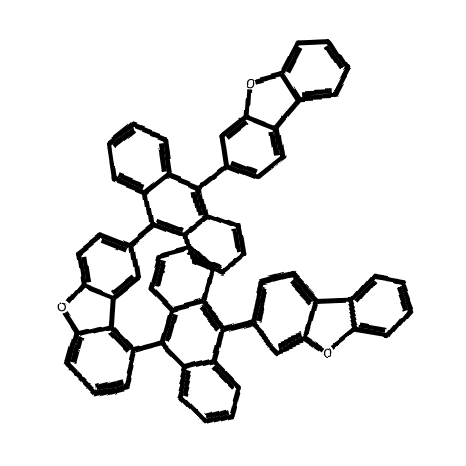 c1ccc2c(c1)oc1cc(-c3c4ccccc4c(-c4ccc5oc6cccc(-c7c8ccccc8c(-c8ccc9c(c8)oc8ccccc89)c8ccccc78)c6c5c4)c4ccccc34)ccc12